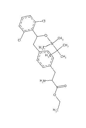 CCOC(=O)C(N)Cc1ccc(CC(O[Si](C)(C)C(C)(C)C)c2c(Cl)cccc2Cl)cc1